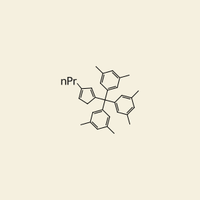 CCCC1=CCC(C(c2cc(C)cc(C)c2)(c2cc(C)cc(C)c2)c2cc(C)cc(C)c2)=C1